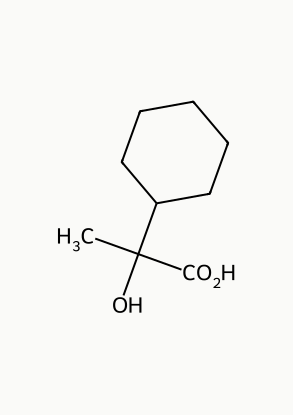 CC(O)(C(=O)O)C1CCCCC1